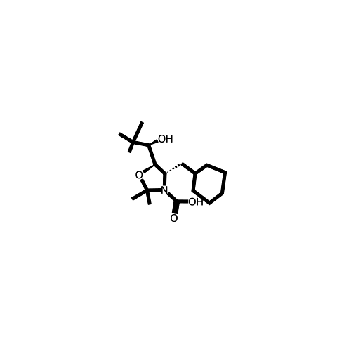 CC(C)(C)[C@@H](O)[C@@H]1OC(C)(C)N(C(=O)O)[C@H]1CC1CCCCC1